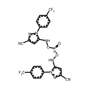 N#Cc1cc(NO[PH](=O)ONc2cc(C#N)nn2-c2ccc(C(F)(F)F)cc2)n(-c2ccc(C(F)(F)F)cc2)n1